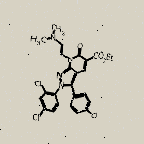 CCOC(=O)c1cc2c(-c3ccc(Cl)cc3)n(-c3ccc(Cl)cc3Cl)nc2n(CCN(C)C)c1=O